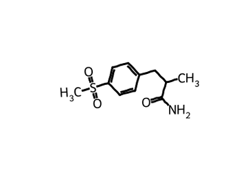 CC(Cc1ccc(S(C)(=O)=O)cc1)C(N)=O